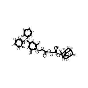 Cc1cc([S+](c2ccccc2)c2ccccc2)cc(C)c1OCC(=O)OCC(=O)OC1(C)C2CC3CC(C2)CC1C3